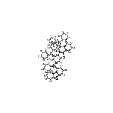 c1ccc(N(c2ccccc2)c2cc3c(sc4cc(N(c5ccccc5)c5cccc6sc7ccccc7c56)cc(N(c5ccccc5)c5ccccc5)c43)c3ccccc23)cc1